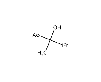 CC(=O)C(C)(O)C(C)C